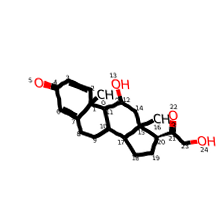 CC12C=CC(=O)C=C1CCC1C2C(O)CC2(C)C1CC[C@@H]2C(=O)CO